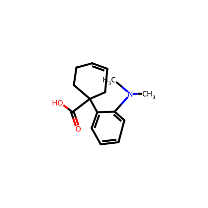 CN(C)c1ccccc1C1(C(=O)O)CC=CCC1